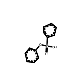 O=P(O)(Oc1ccccc1)c1ccccc1